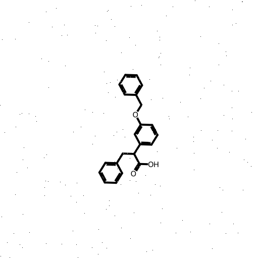 O=C(O)C(Cc1ccccc1)c1cccc(OCc2ccccc2)c1